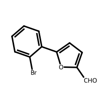 O=Cc1ccc(-c2ccccc2Br)o1